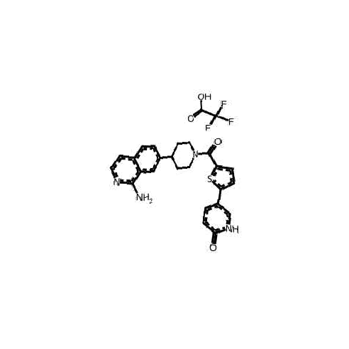 Nc1nccc2ccc(C3CCN(C(=O)c4ccc(-c5ccc(=O)[nH]c5)s4)CC3)cc12.O=C(O)C(F)(F)F